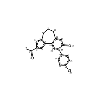 CC(=O)c1cc2c(s1)CCCc1cc(=O)n(-c3ccc(Cl)cc3)nc1-2